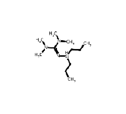 CCC[SiH](CCC)N=C(N(C)C)N(C)C